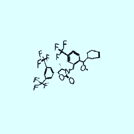 COC(c1ccc(C(F)(F)F)cc1CN1C(=O)O[C@H](c2cc(C(F)(F)F)cc(C(F)(F)F)c2)[C@@H]1C)C1CCCCC1